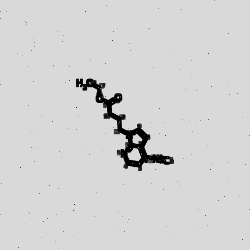 [C-]#[N+]c1ccnc2c1ccn2CCCC(=O)OCC